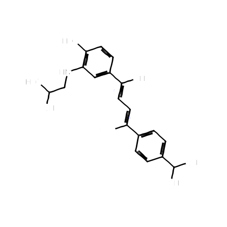 C/C(=C\C=C(/C)c1ccc(C)c(NCC(C)C)c1)c1ccc(C(C)C)cc1